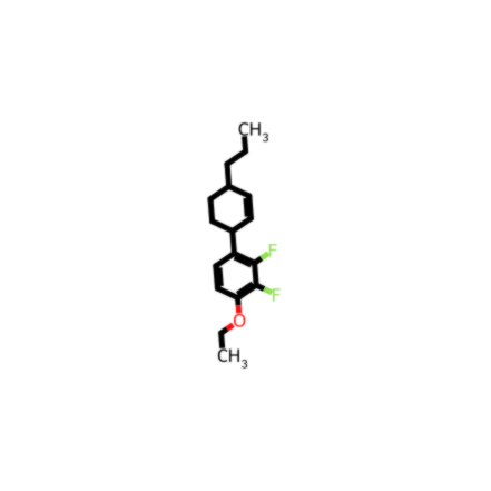 CCCC1C=CC(c2ccc(OCC)c(F)c2F)CC1